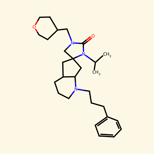 CC(C)N1C(=O)N(CC2CCOCC2)CC12CC1CCCN(CCCc3ccccc3)C1C2